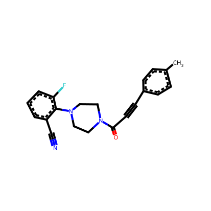 Cc1ccc(C#CC(=O)N2CCN(c3c(F)cccc3C#N)CC2)cc1